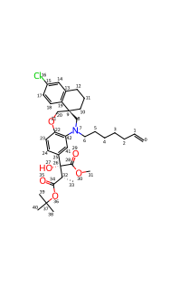 C=CCCCCCN1C[C@@]2(CCCc3cc(Cl)ccc32)COc2ccc([C@@](O)(C(=O)OC)[C@H](C)C(=O)OC(C)(C)C)cc21